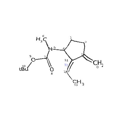 C=C1CCC(N(C)C(=O)OC(C)(C)C)/C1=C/C